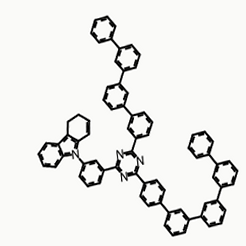 C1=Cc2c(c3ccccc3n2-c2cccc(-c3nc(-c4ccc(-c5cccc(-c6cccc(-c7cccc(-c8ccccc8)c7)c6)c5)cc4)nc(-c4cccc(-c5cccc(-c6cccc(-c7ccccc7)c6)c5)c4)n3)c2)CC1